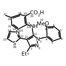 CCc1nn(-c2ccccc2OC)c(Nc2ccc(C)cc2C(=O)O)c1-c1nccs1